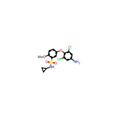 COc1ccc(Oc2c(Cl)cc(N)cc2Cl)cc1S(=O)(=O)NC1CC1